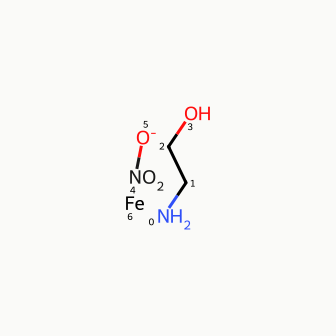 NCCO.O=[N+]([O-])[O-].[Fe]